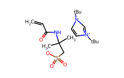 C=CC(=O)NC(C)(C)CS(=O)(=O)[O-].CC(C)(C)n1cc[n+](C(C)(C)C)c1